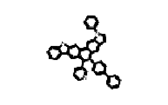 c1ccc(-c2ccc(-c3c(-c4cccnc4)c4cc5c(cc4c4cc6c(ccn6-c6ccccc6)cc34)sc3ccccc35)cc2)cc1